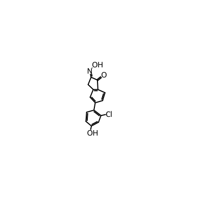 O=C1/C(=N\O)Cc2cc(-c3ccc(O)cc3Cl)ccc21